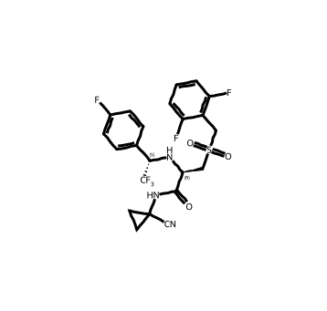 N#CC1(NC(=O)[C@H](CS(=O)(=O)Cc2c(F)cccc2F)N[C@@H](c2ccc(F)cc2)C(F)(F)F)CC1